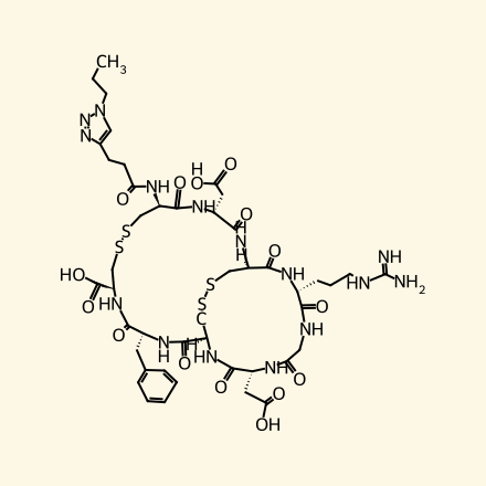 CCCn1cc(CCC(=O)N[C@@H]2CSSC[C@H](C(=O)O)NC(=O)[C@@H](Cc3ccccc3)NC(=O)[C@H]3CSSC[C@@H](NC(=O)[C@@H](CC(=O)O)NC2=O)C(=O)N[C@H](CCCNC(=N)N)C(=O)NCC(=O)N[C@H](CC(=O)O)C(=O)N3)nn1